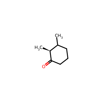 CC1CCCC(=O)[C@H]1C